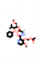 COC[C@@H](OC(=O)[C@H](C)NC(=O)c1nccc(OC)c1OCOC(C)=O)[C@H](Oc1ccccc1)C(C)C